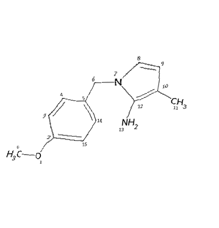 COc1ccc(Cn2ccc(C)c2N)cc1